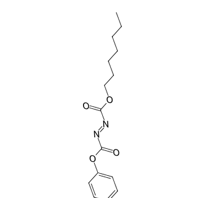 CCCCCCCOC(=O)/N=N/C(=O)Oc1ccccc1